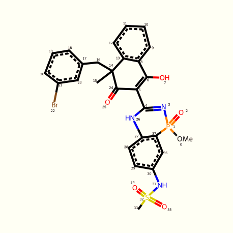 COP1(=O)N=C(C2=C(O)c3ccccc3C(C)(Cc3cccc(Br)c3)C2=O)Nc2ccc(NS(C)(=O)=O)cc21